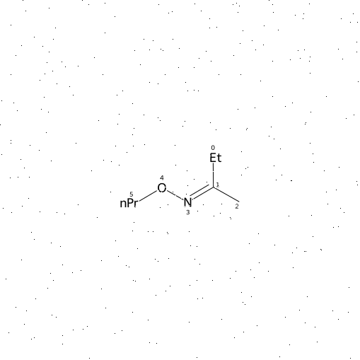 [CH2]C/C(C)=N\OCCC